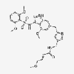 COC/C=C/C(=O)NCc1cnn(Cc2cc(OC)c3c(NS(=O)(=O)c4c(OC)cccc4OC)n[nH]c3c2)c1